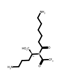 NCCCCCC(=O)N(C(=O)C(F)(F)F)[C@@H](CCCN)C(=O)O